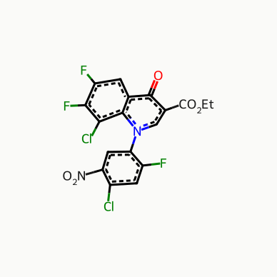 CCOC(=O)c1cn(-c2cc([N+](=O)[O-])c(Cl)cc2F)c2c(Cl)c(F)c(F)cc2c1=O